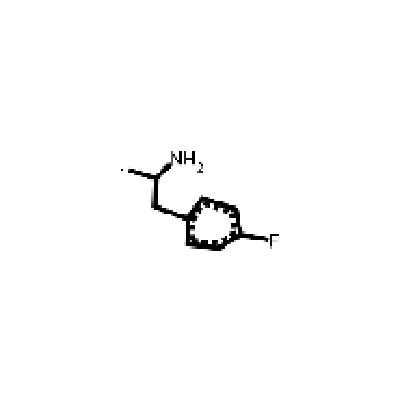 [CH2]C(N)Cc1ccc(F)cc1